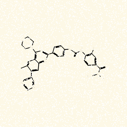 CN(C)C(=O)c1ccc(NC(=O)Nc2ccc(-c3nc(N4CCOCC4)c4cc(F)c(-c5cncnc5)cc4n3)cc2)c(F)c1